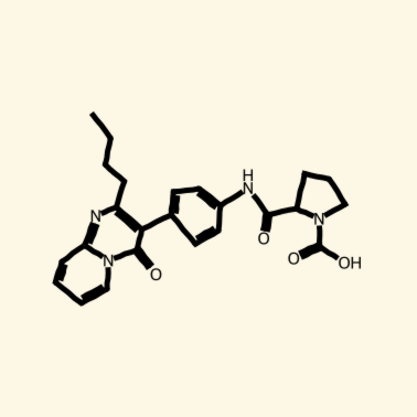 CCCCc1nc2ccccn2c(=O)c1-c1ccc(NC(=O)C2CCCN2C(=O)O)cc1